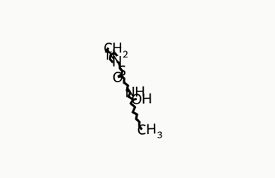 [CH2]CN1CCN(CCSC(=O)CCCCNCC(O)CCCCCCCC)CC1